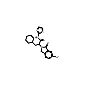 O=C(Nc1nccs1)C(CC1CCCCC1)N1Cc2ccc([N+](=O)[O-])cc2C1=O